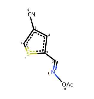 CC(=O)ON=Cc1cc(C#N)cs1